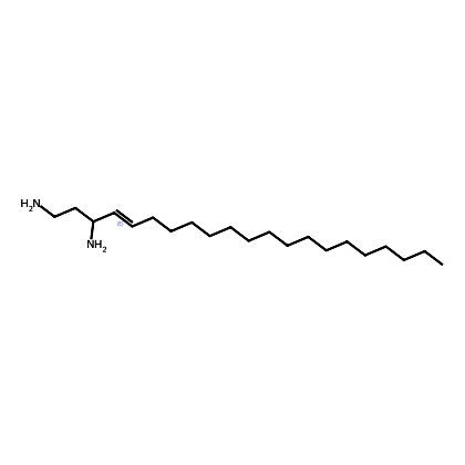 CCCCCCCCCCCCCCCC/C=C/C(N)CCN